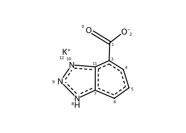 O=C([O-])c1cccc2[nH]nnc12.[K+]